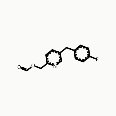 O=COCc1ccc(Cc2ccc(F)cc2)cn1